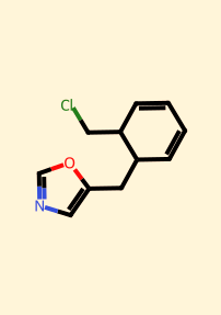 ClCC1C=CC=CC1Cc1cnco1